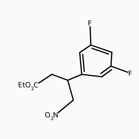 CCOC(=O)CC(C[N+](=O)[O-])c1cc(F)cc(F)c1